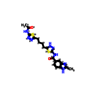 CC(=O)Nc1nnc(CCCCC2NN=C(NC(=O)c3ccc4[nH]c(C)nc4c3)S2)s1